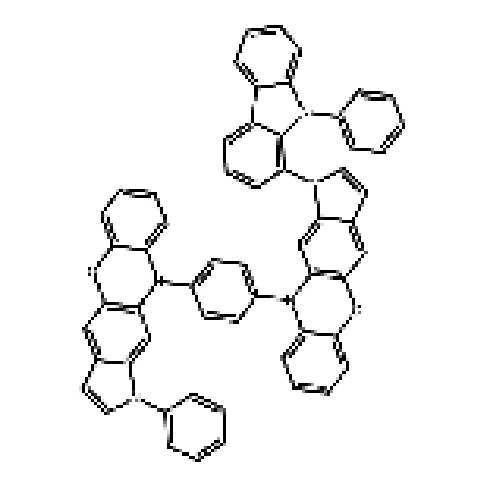 c1ccc(-n2ccc3cc4c(cc32)N(c2ccc(N3c5ccccc5Oc5cc6ccn(-c7cccc8c9ccccc9n(-c9ccccc9)c78)c6cc53)cc2)c2ccccc2O4)cc1